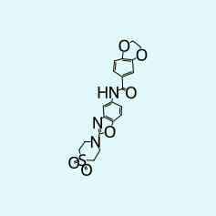 O=C(Nc1ccc2oc(N3CCS(=O)(=O)CC3)nc2c1)c1ccc2c(c1)OCCO2